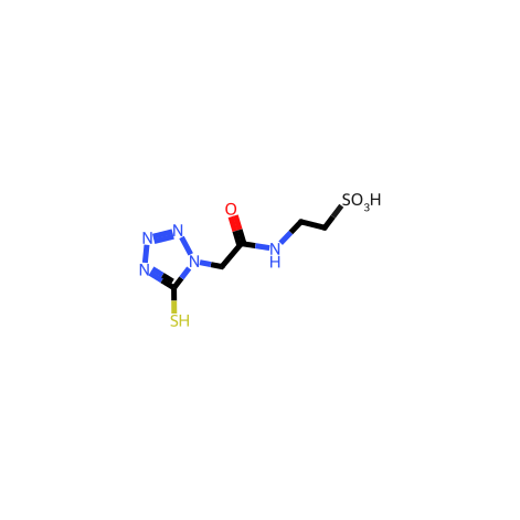 O=C(Cn1nnnc1S)NCCS(=O)(=O)O